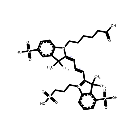 CC1(C)C(/C=C/C=C2/N(CCCCCC(=O)O)c3ccc(S(=O)(=O)O)cc3C2(C)C)=[N+](CCCS(=O)(=O)O)c2cccc(S(=O)(=O)O)c21